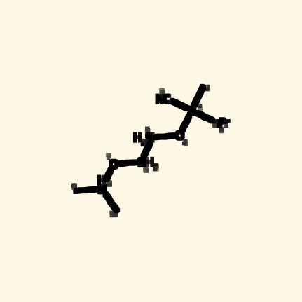 CCC[Si](C)(C#N)O[SiH2][SiH2]O[SiH](C)C